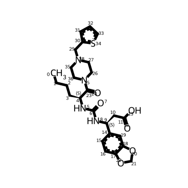 CCCC[C@H](NC(=O)N[C@@H](CC(=O)O)c1ccc2c(c1)OCO2)C(=O)N1CCN(Cc2cccs2)CC1